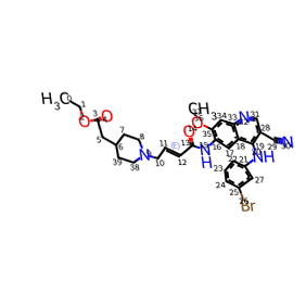 CCOC(=O)CC1CCN(C/C=C/C(=O)Nc2cc3c(Nc4cccc(Br)c4)c(C#N)cnc3cc2OC)CC1